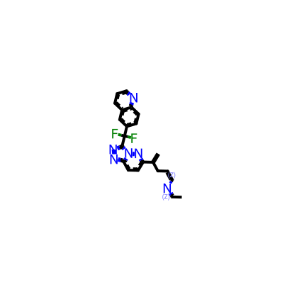 C=C(C/C=C\N=C/C)c1ccc2nnc(C(F)(F)c3ccc4ncccc4c3)n2n1